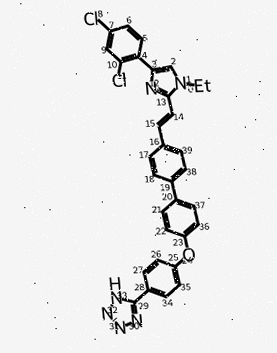 CCn1cc(-c2ccc(Cl)cc2Cl)nc1C=Cc1ccc(-c2ccc(Oc3ccc(-c4nnn[nH]4)cc3)cc2)cc1